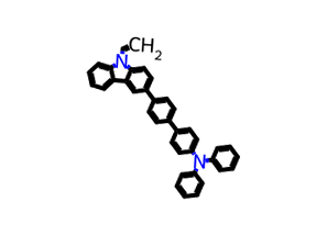 C=Cn1c2ccccc2c2cc(-c3ccc(-c4ccc(N(c5ccccc5)c5ccccc5)cc4)cc3)ccc21